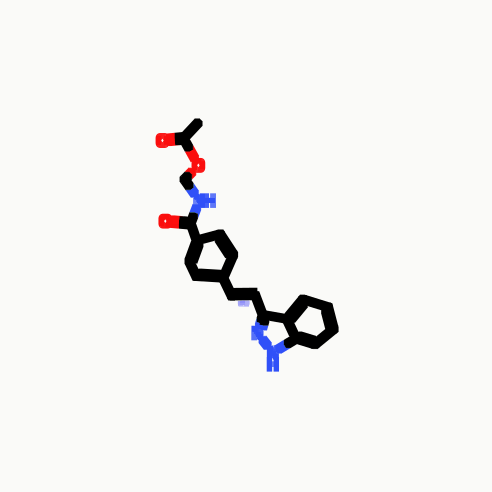 CC(=O)OCNC(=O)c1ccc(/C=C/c2n[nH]c3ccccc23)cc1